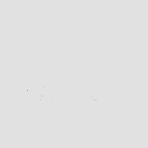 CCCCCCCCCCCC[N+](C)(C)Cc1ccccc1.Cl.[Br-]